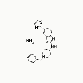 N.c1ccc(CN2CCC(Nc3nc4ccc(-c5nccs5)cc4s3)CC2)cc1